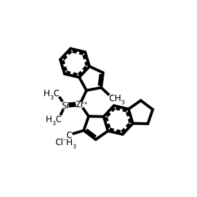 CC1=Cc2ccccc2[CH]1[Zr+]([CH]1C(C)=Cc2cc3c(cc21)CCC3)=[Si](C)C.[Cl-]